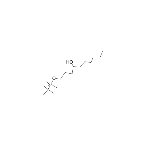 CCCCCCC(O)CCCO[Si](C)(C)C(C)(C)C